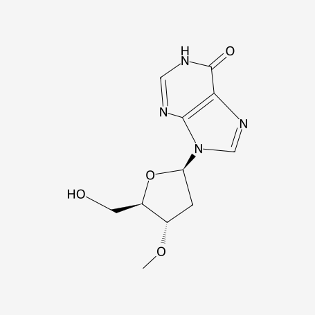 CO[C@H]1C[C@H](n2cnc3c(=O)[nH]cnc32)O[C@@H]1CO